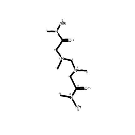 CCCCN(C)C(=O)CN(C)CN(C)CC(=O)N(C)CCC